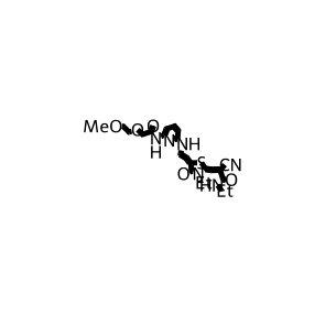 CCNC(=O)C(=C=c1sc(=C=CNc2cccc(NC(=O)COCCOC)n2)c(=O)n1CC)C#N